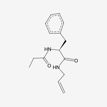 C=CCNC(=O)[C@H](Cc1ccccc1)NC(=O)CC